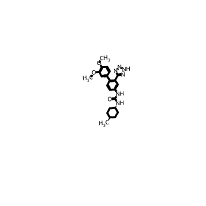 COc1ccc(-c2ccc(NC(=O)N[C@H]3CC[C@H](C)CC3)cc2-c2nn[nH]n2)cc1OC